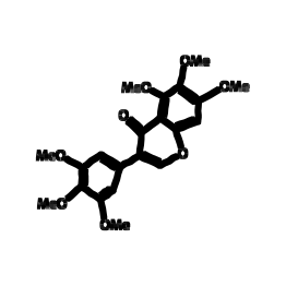 COc1cc(-c2coc3cc(OC)c(OC)c(OC)c3c2=O)cc(OC)c1OC